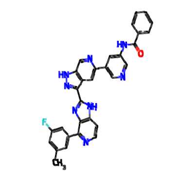 Cc1cc(F)cc(-c2nccc3[nH]c(-c4n[nH]c5cnc(-c6cncc(NC(=O)c7ccccc7)c6)cc45)nc23)c1